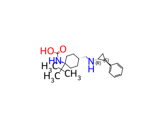 CC(C)(C)[C@]1(NC(=O)O)CC[C@H](CN[C@@H]2C[C@H]2c2ccccc2)CC1